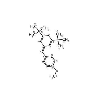 CCc1ccc(C=C2C=C(C(C)(C)C)CC(C(C)(C)C)=C2)cc1